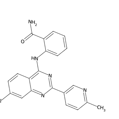 Cc1ccc(-c2nc(Nc3ccccc3C(N)=O)c3ccc(Cl)cc3n2)cn1